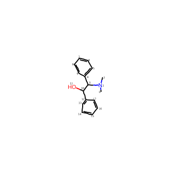 CN(C)C(c1ccccc1)C(O)c1ccccc1